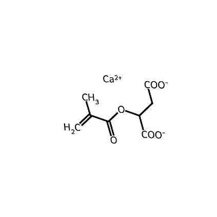 C=C(C)C(=O)OC(CC(=O)[O-])C(=O)[O-].[Ca+2]